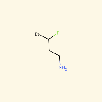 CCC(F)CCN